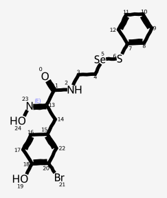 O=C(NCC[Se]Sc1ccccc1)/C(Cc1ccc(O)c(Br)c1)=N/O